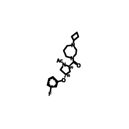 CC(=O)N1C[C@@H](Oc2cccc(F)c2)C[C@@H]1C(=O)N1CCCN(C2CCC2)CC1